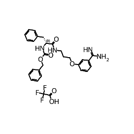 N=C(N)c1cccc(OCCCNC(=O)[C@@H](Cc2ccccc2)NC(=O)OCc2ccccc2)c1.O=C(O)C(F)(F)F